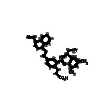 COc1ccc(COc2ccc(CCC(=O)O)c(C(=O)NC(CC(C)C)c3cc(C)cc(C)c3)c2)c2ccccc12